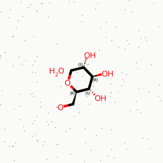 O.[O]C[C@H]1OC[C@H](O)[C@@H](O)[C@@H]1O